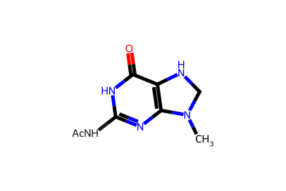 CC(=O)Nc1nc2c(c(=O)[nH]1)NCN2C